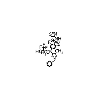 Cc1c(N(C)C2CCN(Cc3ccccc3)C2)cc(F)c(S(=O)(=O)Nc2cscn2)c1F.O=C(O)C(F)(F)F